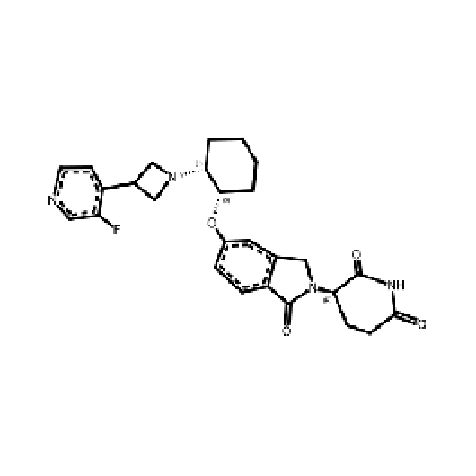 O=C1CC[C@@H](N2Cc3cc(O[C@H]4CCCC[C@H]4N4CC(c5ccncc5F)C4)ccc3C2=O)C(=O)N1